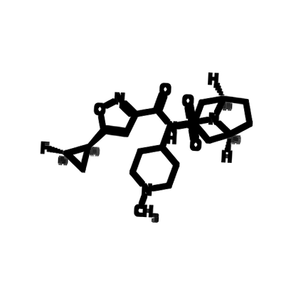 CN1CCC(CS(=O)(=O)N2[C@@H]3CC[C@H]2CC(NC(=O)c2cc([C@H]4C[C@@H]4F)on2)C3)CC1